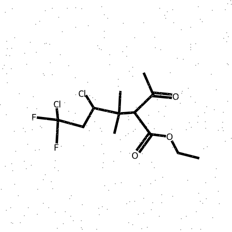 CCOC(=O)C(C(C)=O)C(C)(C)C(Cl)CC(F)(F)Cl